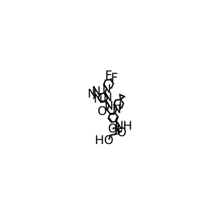 O=C(Nc1cn2cnnc2c(N2CCC(F)(F)CC2)n1)c1ccc(NS(=O)(=O)CCO)cc1N1CCC2(CC1)CC2